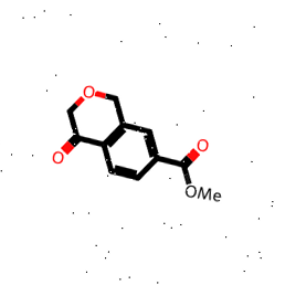 COC(=O)c1ccc2c(c1)COCC2=O